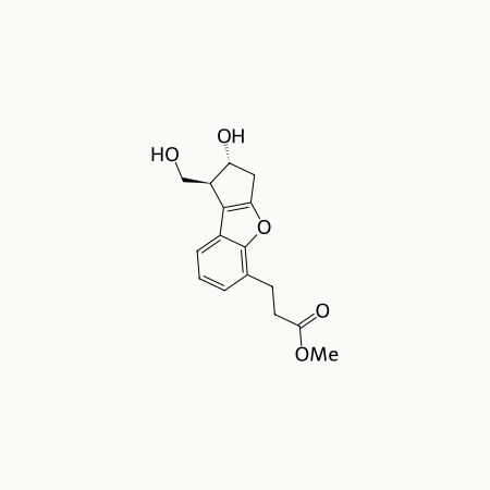 COC(=O)CCc1cccc2c3c(oc12)C[C@@H](O)[C@@H]3CO